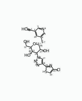 C#Cc1cncc(S[C@H]2OC(CO)[C@H](O)C(n3cc(-c4nc(Cl)cs4)nn3)C2O)c1